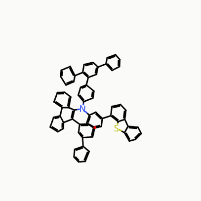 c1ccc(-c2cccc(-c3c(N(c4ccc(-c5cc(-c6ccccc6)ccc5-c5ccccc5)cc4)c4cccc(-c5cccc6c5sc5ccccc56)c4)c4ccccc4c4ccccc34)c2)cc1